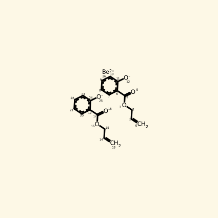 C=CCOC(=O)c1ccccc1[O-].C=CCOC(=O)c1ccccc1[O-].[Be+2]